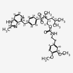 COc1ccc(CCNC(=O)OC[C@H](CC(C)C)N(C)S(=O)(=O)c2ccc(Cc3nccc4[nH]c(C)nc34)cc2)cc1OC